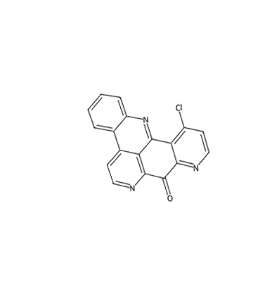 O=C1c2nccc(Cl)c2-c2nc3ccccc3c3ccnc1c23